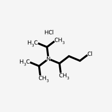 CC(C)N(C(C)C)C(C)CCCl.Cl